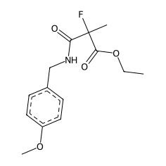 CCOC(=O)C(C)(F)C(=O)NCc1ccc(OC)cc1